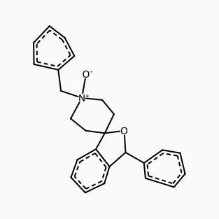 [O-][N+]1(Cc2ccccc2)CCC2(CC1)OC(c1ccccc1)c1ccccc12